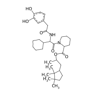 CC(CC1CCC(C)(C)C1(C)C)OC(=O)C1CCCCN1C(=O)C(NC(=O)Cc1ccc(O)c(O)c1)C1CCCCC1